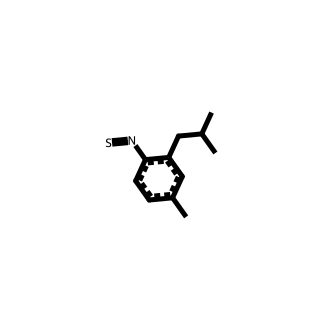 Cc1ccc(N=S)c(CC(C)C)c1